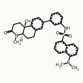 CN(C)c1cccc2c(S(=O)(=O)Nc3cccc(-c4ccc5c(c4)CC[C@H]4N(C)C(=O)CC[C@]54C)c3)cccc12